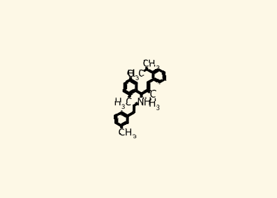 C/C(=C\c1ccccc1C(C)C)C(NCCc1cccc(C)c1)c1cc(Cl)ccc1C